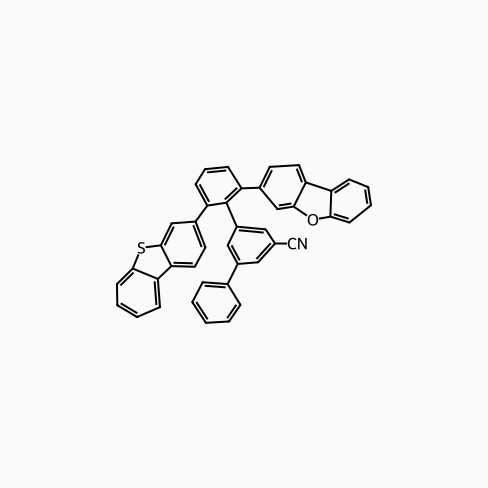 N#Cc1cc(-c2ccccc2)cc(-c2c(-c3ccc4c(c3)oc3ccccc34)cccc2-c2ccc3c(c2)sc2ccccc23)c1